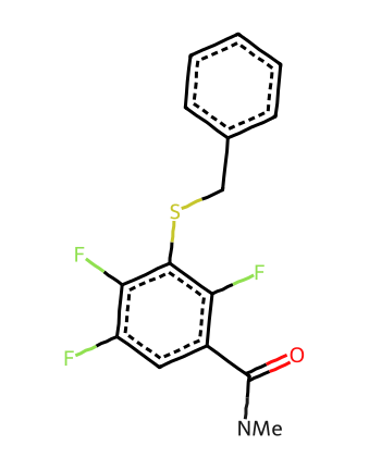 CNC(=O)c1cc(F)c(F)c(SCc2ccccc2)c1F